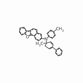 Cc1ccc(N(c2ccc3c(ccc4c5ccccc5oc34)c2)C2(C)C=CC(c3ccccc3)=CC2)cc1